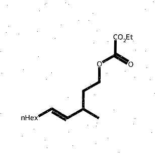 CCCCCCC=CC(C)CCOC(=O)C(=O)OCC